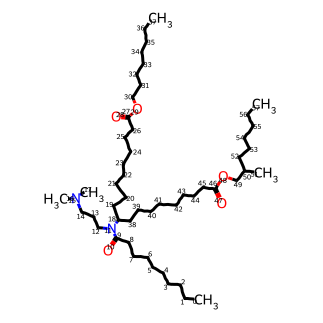 CCCCCCCCCC(=O)N(CCCN(C)C)C(CCCCCCCCC(=O)OCCCCCCCC)CCCCCCCCC(=O)OCC(C)CCCCCC